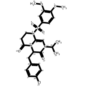 COc1ccc(S(=O)(=O)N2CCC(=O)N3C2=CN(C(C)C)C(=O)C3Cc2ccc(Cl)cc2)cc1OC